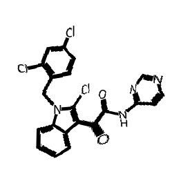 O=C(Nc1ccncn1)C(=O)c1c(Cl)n(Cc2ccc(Cl)cc2Cl)c2ccccc12